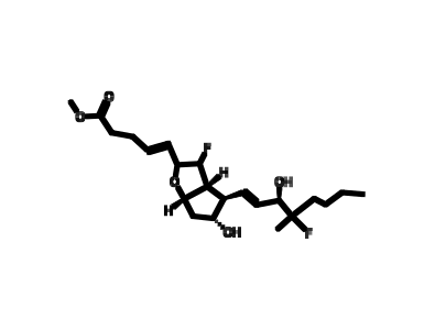 CCCCC(C)(F)[C@H](O)/C=C/[C@@H]1[C@H]2C(F)C(/C=C/CCC(=O)OC)O[C@H]2C[C@H]1O